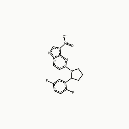 O=[N+]([O-])c1cnn2ccc(N3CCCC3c3cc(F)ccc3F)nc12